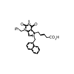 CC(C)Cn1c(=O)n(C)c(=O)c2c(CC=CCC(=O)O)n(Cc3cccc4ccccc34)cc21